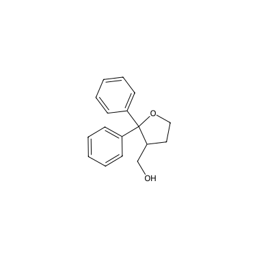 OCC1CCOC1(c1ccccc1)c1ccccc1